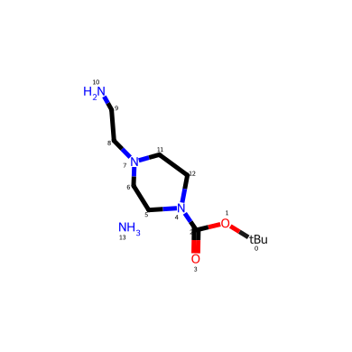 CC(C)(C)OC(=O)N1CCN(CCN)CC1.N